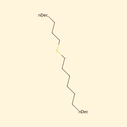 CCCCCCCCCCCCCCC[CH]SCCCCCCCCCCCCC